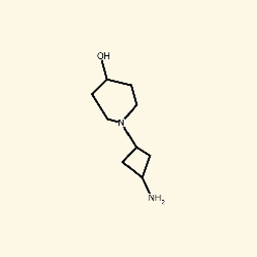 NC1CC(N2CCC(O)CC2)C1